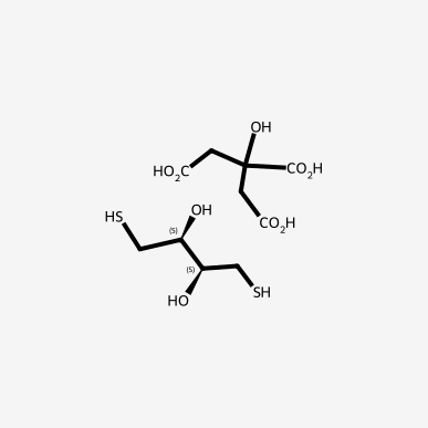 O=C(O)CC(O)(CC(=O)O)C(=O)O.O[C@H](CS)[C@H](O)CS